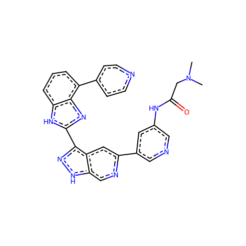 CN(C)CC(=O)Nc1cncc(-c2cc3c(-c4nc5c(-c6ccncc6)cccc5[nH]4)n[nH]c3cn2)c1